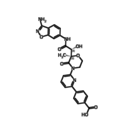 C[C@]1([C@@H](O)C(=O)Nc2ccc3c(N)noc3c2)OCCN(c2cccc(-c3ccc(C(=O)O)cc3)n2)C1=O